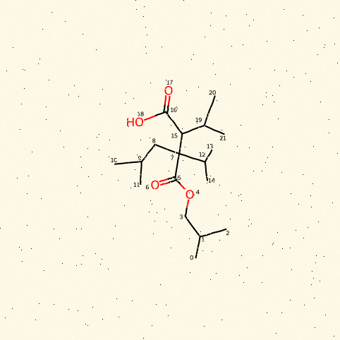 CC(C)COC(=O)C(CC(C)C)(C(C)C)C(C(=O)O)C(C)C